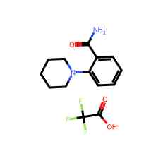 NC(=O)c1ccccc1N1CCCCC1.O=C(O)C(F)(F)F